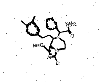 CCc1nc(OC)c2n1CCN(C(C(=O)NC)c1ccccc1)C2CCc1ccc(C)c(C)c1